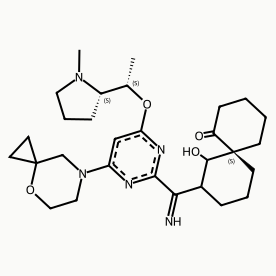 C[C@H](Oc1cc(N2CCOC3(CC3)C2)nc(C(=N)C2CCC[C@@]3(CCCCC3=O)C2O)n1)[C@@H]1CCCN1C